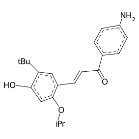 CC(C)Oc1cc(O)c(C(C)(C)C)cc1C=CC(=O)c1ccc(N)cc1